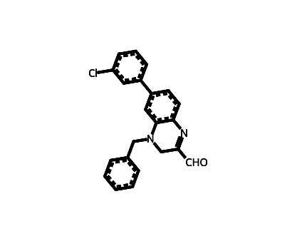 O=CC1=Nc2ccc(-c3cccc(Cl)c3)cc2N(Cc2ccccc2)C1